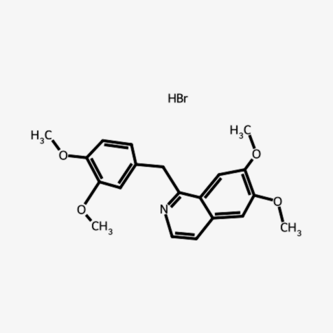 Br.COc1ccc(Cc2nccc3cc(OC)c(OC)cc23)cc1OC